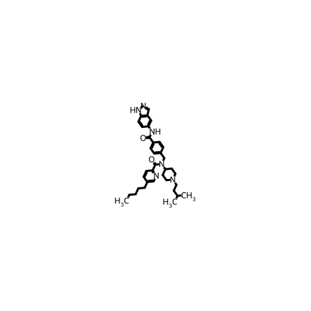 CCCCCc1ccc(C(=O)N(Cc2ccc(C(=O)Nc3ccc4[nH]ncc4c3)cc2)C2CCN(CCC(C)C)CC2)nc1